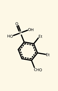 CCc1c(C=O)ccc(P(=O)(O)O)c1CC